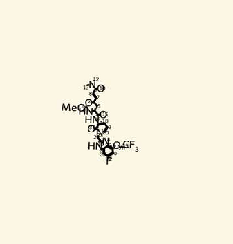 COC(=O)N[C@@H](CC/C=C/C(=O)N(C)C)C(=O)Nc1cccn(Cc2nc3c(OCC(F)(F)F)cc(F)cc3[nH]2)c1=O